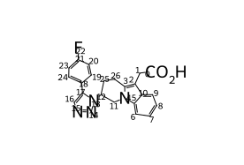 O=C(O)Cc1c2n(c3ccccc13)CC(n1nncc1-c1ccc(F)cc1)CC2